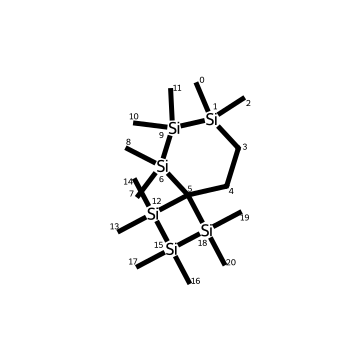 C[Si]1(C)CCC2([Si](C)(C)[Si]1(C)C)[Si](C)(C)[Si](C)(C)[Si]2(C)C